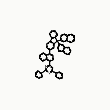 c1ccc(-c2cc(-c3ccc(-c4ccc5c(c4)C(c4ccc6ccccc6c4)(c4ccc6ccccc6c4)c4ccccc4-5)c4ccccc34)nc(-c3ccccc3)n2)cc1